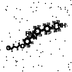 O=CCCCOc1ccc(-c2nc3cc(-c4ccc(N5CCNCC5)cc4)ccc3[nH]2)cc1